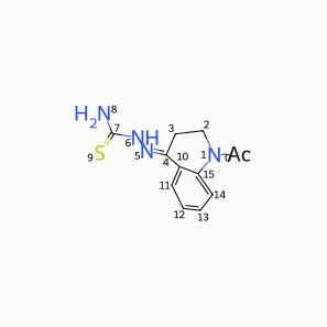 CC(=O)N1CCC(=NNC(N)=S)c2ccccc21